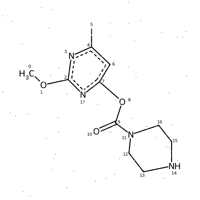 COc1nc(I)cc(OC(=O)N2CCNCC2)n1